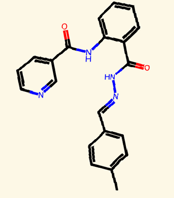 Cc1ccc(/C=N/NC(=O)c2ccccc2NC(=O)c2cccnc2)cc1